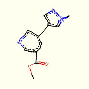 COC(=O)c1cncc(-c2cnn(C)c2)c1